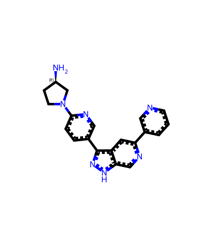 N[C@@H]1CCN(c2ccc(-c3n[nH]c4cnc(-c5cccnc5)cc34)cn2)C1